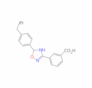 CC(C)Cc1ccc(C2NC(c3cccc(C(=O)O)c3)=NO2)cc1